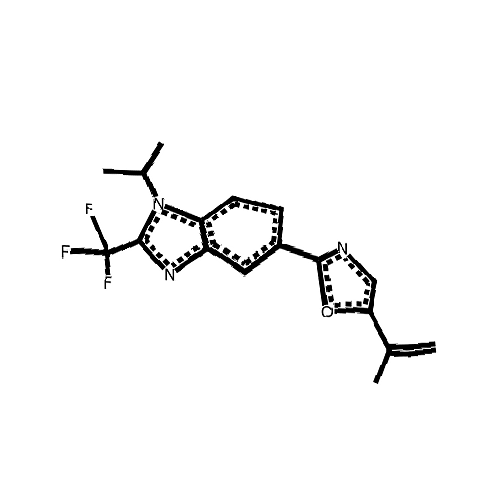 C=C(C)c1cnc(-c2ccc3c(c2)nc(C(F)(F)F)n3C(C)C)o1